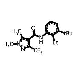 CCc1c(NC(=O)c2c(C(F)(F)F)nn(C)c2C)cccc1C(C)(C)C